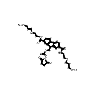 COCCCOCCNC(=O)c1ccc2c(c1)C(COC(=O)ON1C(=O)CCC1=O)c1cc(C(=O)NCCOCCCOC)ccc1-2